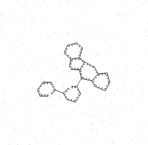 c1ccc(-c2cccc(-c3c4ccccc4cc4c3oc3ccccc34)n2)nc1